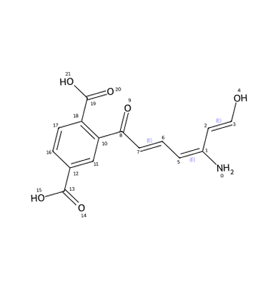 NC(/C=C/O)=C/C=C/C(=O)c1cc(C(=O)O)ccc1C(=O)O